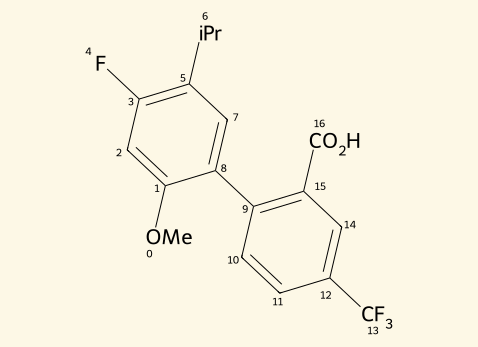 COc1cc(F)c(C(C)C)cc1-c1ccc(C(F)(F)F)cc1C(=O)O